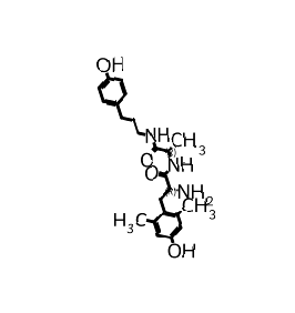 Cc1cc(O)cc(C)c1C[C@@H](N)C(=O)N[C@H](C)C(=O)NCCCc1ccc(O)cc1